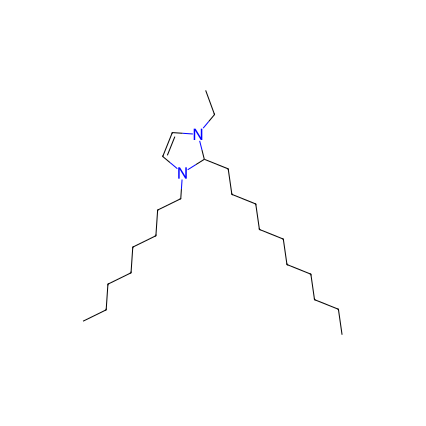 CCCCCCCCCCC1N(CC)C=CN1CCCCCCCC